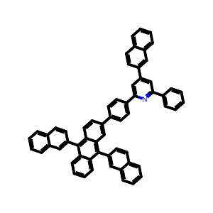 c1ccc(-c2cc(-c3ccc4ccccc4c3)cc(-c3ccc(-c4ccc5c(-c6ccc7ccccc7c6)c6ccccc6c(-c6ccc7ccccc7c6)c5c4)cc3)n2)cc1